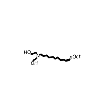 CCCCCCCC/C=C\CCCCCCCCCN(CCO)CCO